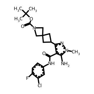 Cn1nc(C2CC3(C2)CN(C(=O)OC(C)(C)C)C3)c(C(=O)Nc2ccc(F)c(Cl)c2)c1N